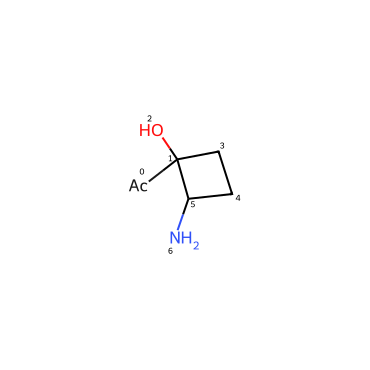 CC(=O)C1(O)CCC1N